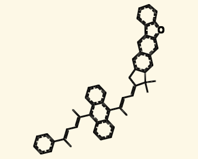 C/C(=C\C=C(/C)c1c2ccccc2c(/C(C)=C/C=C2\Cc3cc4cc5c(cc4cc3C2(C)C)oc2ccccc25)c2ccccc12)c1ccccc1